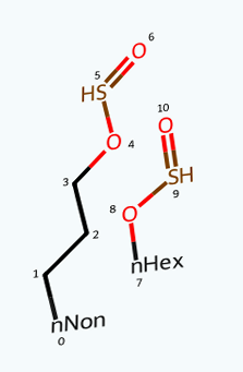 CCCCCCCCCCCCO[SH]=O.CCCCCCO[SH]=O